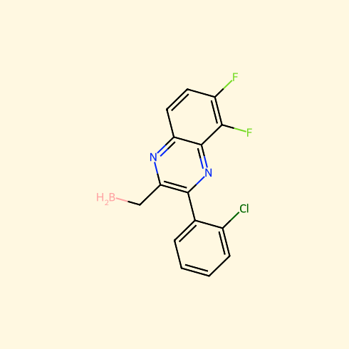 BCc1nc2ccc(F)c(F)c2nc1-c1ccccc1Cl